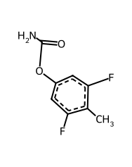 Cc1c(F)cc(OC(N)=O)cc1F